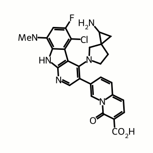 CNc1cc(F)c(Cl)c2c1[nH]c1ncc(-c3ccc4ccc(C(=O)O)c(=O)n4c3)c(N3CCC4(CC4N)C3)c12